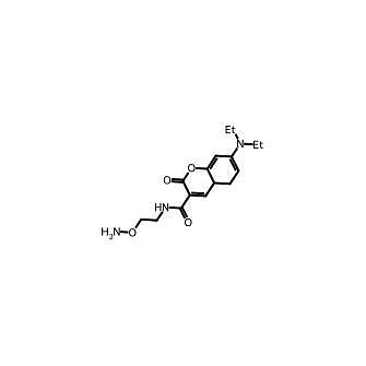 CCN(CC)C1=CCC2C=C(C(=O)NCCON)C(=O)OC2=C1